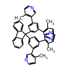 Cc1ccncc1-c1cc(-c2cnccc2C)cc(C2(c3cc(-c4cnccc4C)cc(-c4cnccc4C)c3)c3ccccc3-c3ccccc32)c1